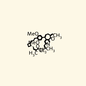 C/C=C1/CC=C(c2cc(OC)c(CCCC3CC[C@H]3C/C=C(/C)C(=O)C(F)(F)F)c(OC)c2)c2cc(/C=C(\C)CC)ncc2C1=O